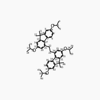 CC(C)Oc1ccc2c(c1)C(C)(C)c1cc(OC(C)C)cc(CCc3cc(OC(C)C)cc4c3-c3ccc(OC(C)C)cc3C4(C)C)c1-2